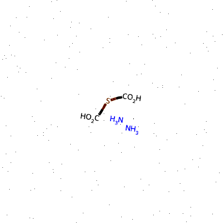 N.N.O=C(O)SC(=O)O